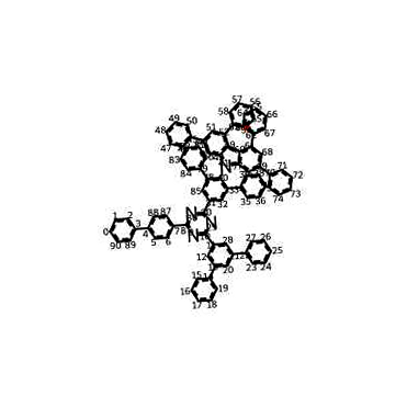 c1ccc(-c2ccc(-c3nc(-c4cc(-c5ccccc5)cc(-c5ccccc5)c4)nc(-c4cc(-c5ccccc5)c(-n5c6cc(-c7ccccc7)cc(-c7ccccc7)c6c6c(-c7ccccc7)cc(-c7ccccc7)cc65)c(-c5ccccc5)c4)n3)cc2)cc1